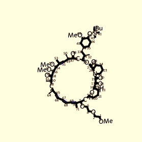 COCCOCCOC1C[C@@H]2CC[C@@H](C)[C@@](O)(O2)C(=O)C(=O)N2CCCC[C@H]2C(=O)O[C@H]([C@H](C)C[C@@H]2CCC(O[Si](C)(C)C(C)(C)C)[C@H](OC)C2)CC(=O)[C@H](C)/C=C(\C)[C@@H](OC)[C@@H](OC)C(=O)[C@H](C)C[C@H](C)/C=C/C=C/C=C/1C